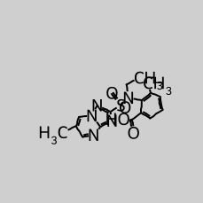 CCN(c1c(C)cccc1C(=O)O)S(=O)(=O)c1nc2ncc(C)cn2n1